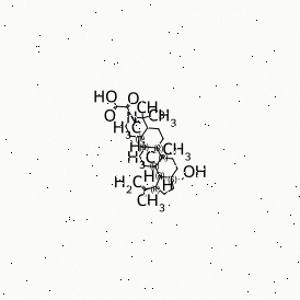 C=C(C)[C@@H]1CC[C@]2(CO)CC[C@]3(C)[C@H](CC[C@@H]4[C@@]5(C)CCN(C(=O)C(=O)O)C(C)(C)C5CC[C@]43C)[C@@H]12